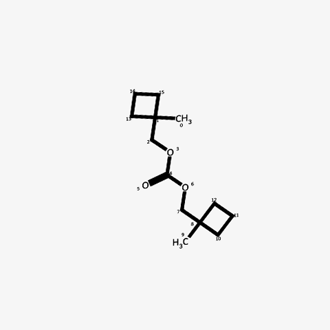 CC1(COC(=O)OCC2(C)CCC2)CCC1